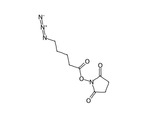 [N-]=[N+]=NCCCCC(=O)ON1C(=O)CCC1=O